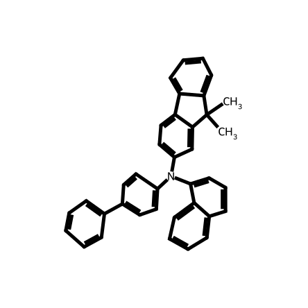 CC1(C)c2ccccc2-c2ccc(N(c3ccc(-c4ccccc4)cc3)c3cccc4ccccc34)cc21